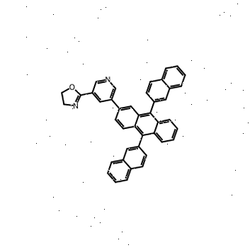 c1ccc2cc(-c3c4ccccc4c(-c4ccc5ccccc5c4)c4cc(-c5cncc(C6=NCCO6)c5)ccc34)ccc2c1